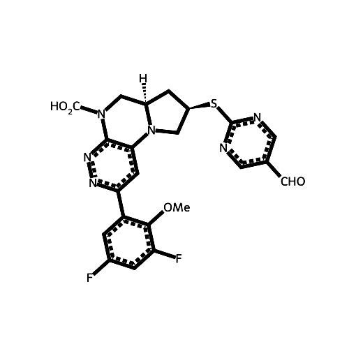 COc1c(F)cc(F)cc1-c1cc2c(nn1)N(C(=O)O)C[C@H]1C[C@@H](Sc3ncc(C=O)cn3)CN21